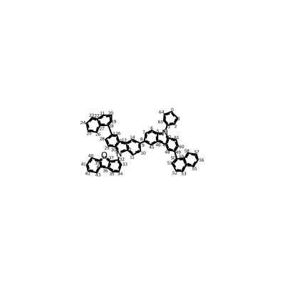 c1ccc(-n2c3ccc(-c4ccc5c(c4)c4cc(-c6cccc7ccccc67)ccc4n5-c4cccc5c4oc4ccccc45)cc3c3cc(-c4cccc5ccccc45)ccc32)cc1